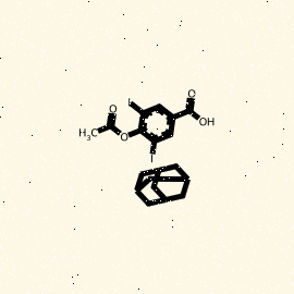 C1C2CC3CC1CC(C2)C3.CC(=O)Oc1c(I)cc(C(=O)O)cc1I